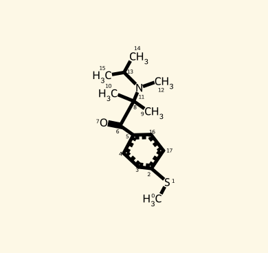 CSc1ccc(C(=O)C(C)(C)N(C)C(C)C)cc1